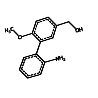 COc1ccc(CO)cc1-c1ccccc1N